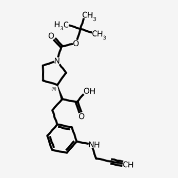 C#CCNc1cccc(CC(C(=O)O)[C@H]2CCN(C(=O)OC(C)(C)C)C2)c1